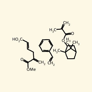 C=C(C)C(=O)OC1CC2CCC1(C)C2(C)C.C=C(CC=CC(=O)O)C(=O)OC.C=Cc1ccccc1